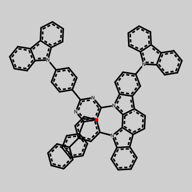 c1ccc(-c2cccc(-n3c4ccccc4c4ccc5c6cc(-n7c8ccccc8c8ccccc87)ccc6n(-c6nc(-c7ccccc7)nc(-c7ccc(-n8c9ccccc9c9ccccc98)cc7)n6)c5c43)c2)cc1